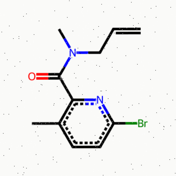 C=CCN(C)C(=O)c1nc(Br)ccc1C